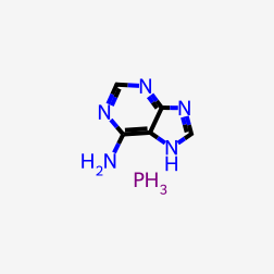 Nc1ncnc2nc[nH]c12.P